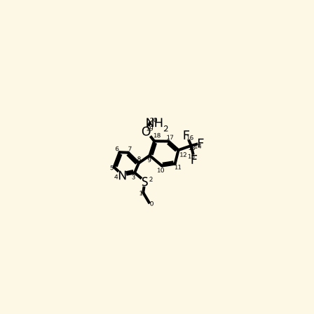 CCSc1ncccc1-c1ccc(C(F)(F)F)cc1ON